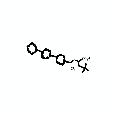 CC(C)(F)CC(N[C@@H](c1ccc(-c2ccc(-c3ccncc3)cc2)cc1)C(F)(F)F)C(=O)O